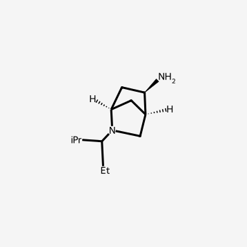 CCC(C(C)C)N1C[C@H]2C[C@@H]1C[C@H]2N